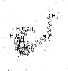 CCCCCCCC/C=C\CCCCCCCC(=O)OC1CCC[C@H]2CC[C@H]3[C@@H]4CC[C@H]([C@H](C)CCCC(C)C)[C@@]4(C)CC[C@@H]3[C@@]12C